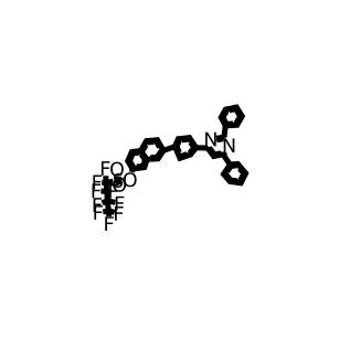 O=S(=O)(Oc1ccc2ccc(-c3ccc(-c4cc(-c5ccccc5)nc(-c5ccccc5)n4)cc3)cc2c1)C(F)(F)C(F)(F)C(F)(F)C(F)(F)F